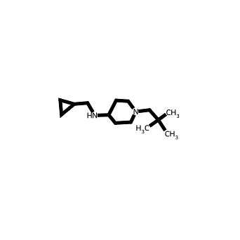 CC(C)(C)CN1CCC(NCC2CC2)CC1